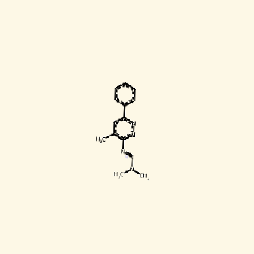 Cc1cc(-c2ccccc2)nnc1/N=C/N(C)C